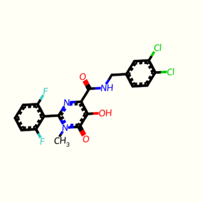 Cn1c(-c2c(F)cccc2F)nc(C(=O)NCc2ccc(Cl)c(Cl)c2)c(O)c1=O